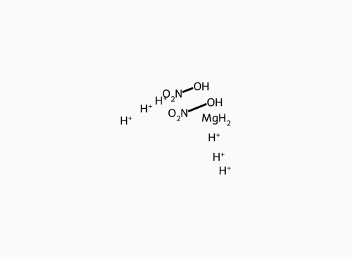 O=[N+]([O-])O.O=[N+]([O-])O.[H+].[H+].[H+].[H+].[H+].[H+].[MgH2]